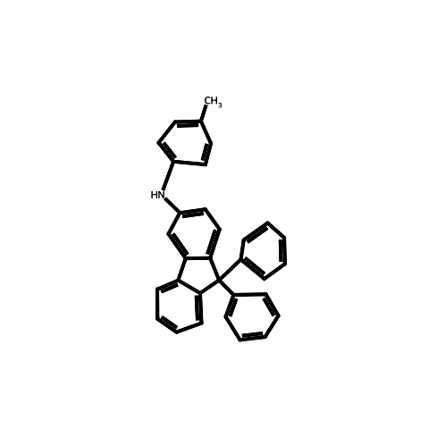 Cc1ccc(Nc2ccc3c(c2)-c2ccccc2C3(c2ccccc2)c2ccccc2)cc1